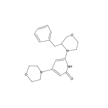 O=c1cc(N2CCOCC2)cc(N2CCOCC2Cc2ccccc2)[nH]1